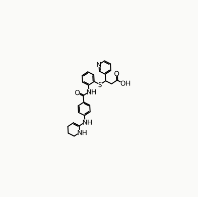 O=C(O)CC(Sc1ccccc1NC(=O)c1ccc(NC2=CCCCN2)cc1)c1cccnc1